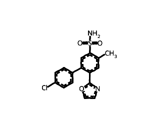 Cc1cc(-c2ncco2)c(-c2ccc(Cl)cc2)cc1S(N)(=O)=O